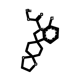 CC(C)(C)OC(=O)NCC1(c2cccc(Cl)c2)CCC2(CC1)OCCO2